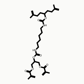 C=C(C)CCC(CCC(=C)C)OC(=O)NCCCCCCNC(=O)OC(COC(=O)C(=C)C)COC(=O)C(=C)C